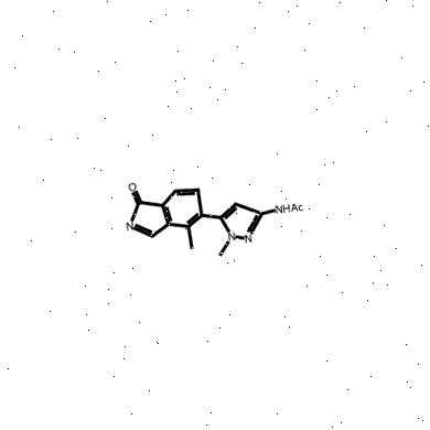 CC(=O)Nc1cc(-c2ccc3c(c2C)C=NC3=O)n(C)n1